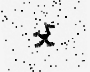 CCCCCCC[PH](CCC)(CCC)CCC